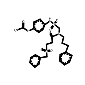 NC(=O)Oc1ccc(NS(=O)(=O)CN(CCCc2ccccc2)C(=O)[CH]CS(=O)(=O)Cc2ccccc2)cc1